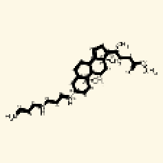 COC(=O)CC[C@@H](C)C1CCC2C3CCC4C[C@@H](NCCCNCCCN)CC[C@]4(C)C3CC[C@@]21C